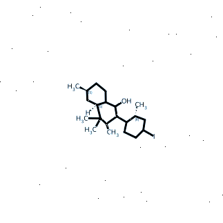 CC1C(C2CCC(I)C[C@H]2C)C(O)C2CC[C@H](C)C[C@@H]2C1(C)C